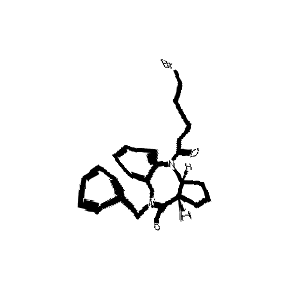 O=C1[C@H]2CCC[C@H]2N(C(=O)CCCCBr)c2ccccc2N1Cc1ccccc1